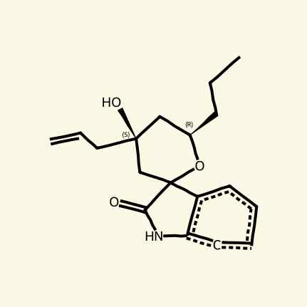 C=CC[C@]1(O)C[C@@H](CCC)OC2(C1)C(=O)Nc1ccccc12